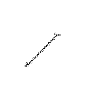 O=C(O)CCOCCOCCOCCOCCOCCOCCOCCOCCOCCC(=O)O